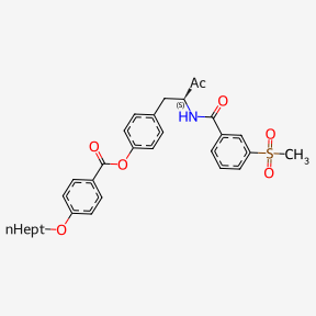 CCCCCCCOc1ccc(C(=O)Oc2ccc(C[C@H](NC(=O)c3cccc(S(C)(=O)=O)c3)C(C)=O)cc2)cc1